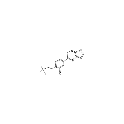 CC(C)(C)CCn1ccc(-c2ccn3nccc3n2)cc1=O